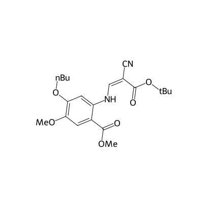 CCCCOc1cc(N/C=C(/C#N)C(=O)OC(C)(C)C)c(C(=O)OC)cc1OC